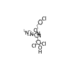 CCN1CCN(c2cc(-c3cc(Cl)c(O)c(Cl)c3)nnc2OCCc2ccc(Cl)cc2)CC1